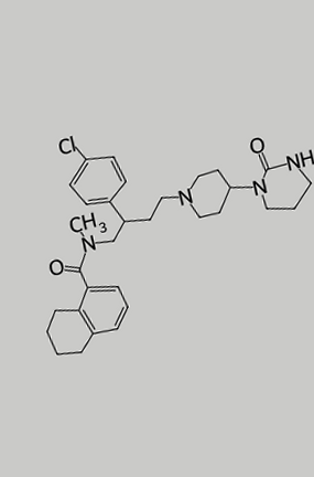 CN(CC(CCN1CCC(N2CCCNC2=O)CC1)c1ccc(Cl)cc1)C(=O)c1cccc2c1CCCC2